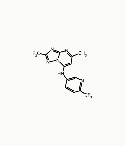 Cc1cc(Nc2ccc(C(F)(F)F)nc2)n2nc(C(F)(F)F)nc2n1